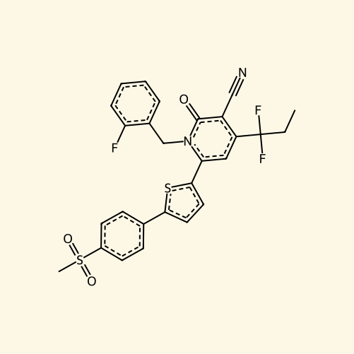 CCC(F)(F)c1cc(-c2ccc(-c3ccc(S(C)(=O)=O)cc3)s2)n(Cc2ccccc2F)c(=O)c1C#N